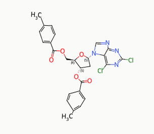 Cc1ccc(C(=O)OC[C@H]2O[C@H](n3cnc4nc(Cl)nc(Cl)c43)C[C@@H]2OC(=O)c2ccc(C)cc2)cc1